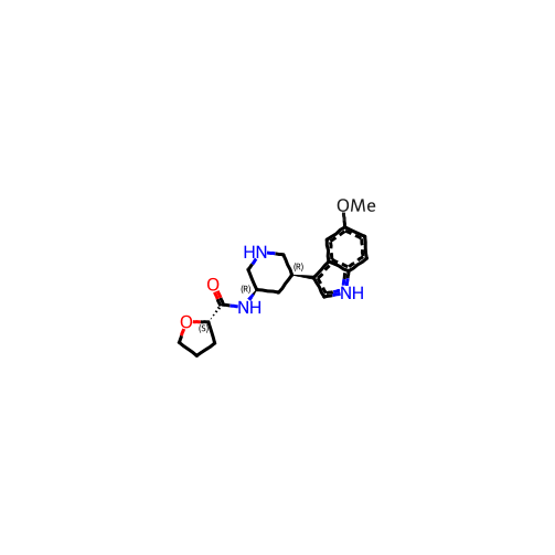 COc1ccc2[nH]cc([C@@H]3CNC[C@H](NC(=O)[C@@H]4CCCO4)C3)c2c1